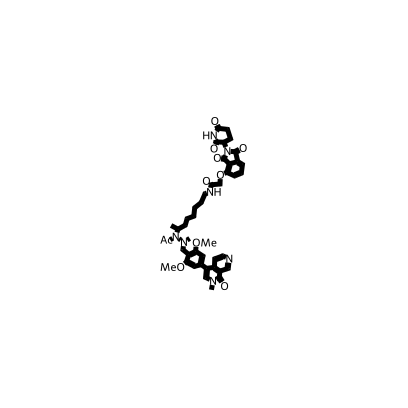 COc1cc(-c2cn(C)c(=O)c3cnccc23)cc(OC)c1CN(C)N(C(C)=O)C(C)CCCCCCNC(=O)COc1cccc2c1C(=O)N(C1CCC(=O)NC1=O)C2=O